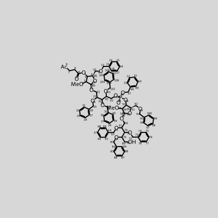 COC1C(OC(=O)CCC(C)=O)[C@@H](COCc2ccccc2)O[C@H]1OCC(OCc1ccccc1)C(OCc1ccccc1)C(COP(=O)(OCc1ccccc1)OC1C(OC)[C@H](OCC(OCc2ccccc2)C(OCc2ccccc2)C(CO)OCc2ccccc2)O[C@@H]1COCc1ccccc1)OCc1ccccc1